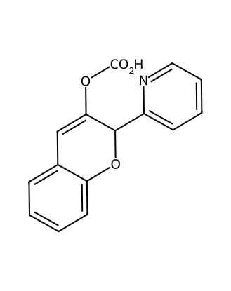 O=C(O)OC1=Cc2ccccc2OC1c1ccccn1